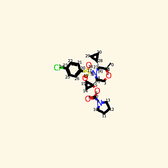 C[C@H]1OC[C@H](C2(OC(=O)N3CCCC3)CC2)N(S(=O)(=O)c2ccc(Cl)cc2)[C@@H]1C1CC1